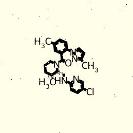 Cc1ccc(-n2ccc(C)n2)c(C(=O)N2CCC[C@@H](C)[C@H]2CNc2ccc(Cl)cn2)c1